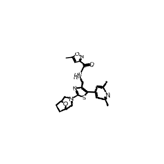 Cc1cc(-c2sc(N3CC4CCC(C3)O4)nc2CNC(=O)c2cc(C)on2)cc(C)n1